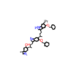 Cc1cn(C)c2cc(C(C)CCc3cn(C)c4cc(C(C)CCc5c[nH]c6cc(C(C)C)c(OCc7ccccc7)cc56)c(OCc5ccccc5)cc34)c(O)cc12